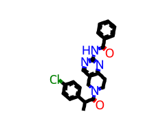 CC(C(=O)N1CCc2nc(NC(=O)c3ccccc3)ncc2C1)c1ccc(Cl)cc1